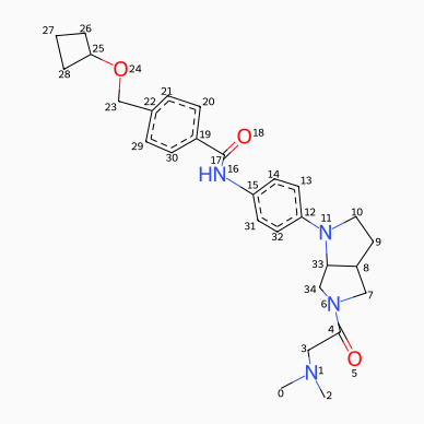 CN(C)CC(=O)N1CC2CCN(c3ccc(NC(=O)c4ccc(COC5CCC5)cc4)cc3)C2C1